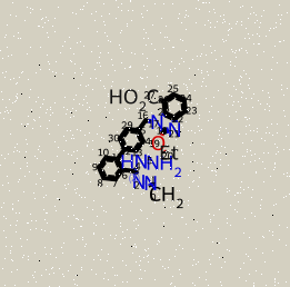 C=N/N=C(\NN)c1ccccc1-c1ccc(Cn2c(OCC)nc3cccc(C(=O)O)c32)cc1